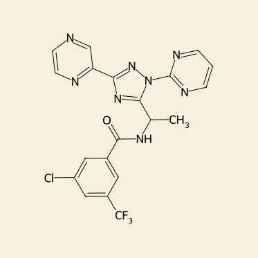 CC(NC(=O)c1cc(Cl)cc(C(F)(F)F)c1)c1nc(-c2cnccn2)nn1-c1ncccn1